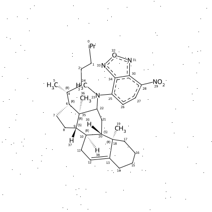 CC(C)CCC[C@@H](C)[C@H]1CC[C@H]2[C@@H]3CC=C4C[CH]CC[C@]4(C)[C@H]3CC(N(C)c3ccc([N+](=O)[O-])c4nonc34)[C@]12C